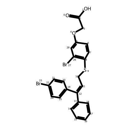 O=C(O)COc1ccc(SC/C=C(/c2ccccc2)c2ccc(Br)cc2)c(Br)c1